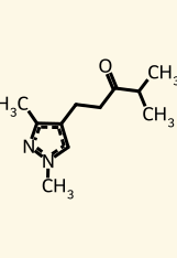 Cc1nn(C)cc1CCC(=O)C(C)C